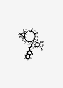 CC[C@H]1OC(=O)[C@H](C)C(=O)[C@H](C)[C@@H](O[C@@H]2O[C@H](C)C[C@H](N(C)C)[C@H]2O)[C@@](C)(OC/C=C/c2cnc3ccccc3c2)C[C@@H](C)C(=O)[C@H](C)[C@H]2NC(=O)O[C@@]21C